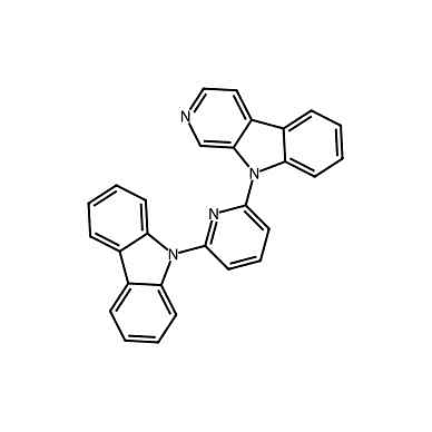 c1cc(-n2c3ccccc3c3ccccc32)nc(-n2c3ccccc3c3ccncc32)c1